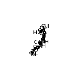 Cc1cc(Nc2nc(Cl)nc(Nc3ccc(S(=O)(=O)CCOS(=O)(=O)O)cc3)n2)ccc1N=Nc1ccc2cc(S(=O)(=O)O)cc(S(=O)(=O)O)c2c1